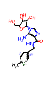 C=C(Cl)/C=C\C(=C/C)CNC(=O)c1ncn(C2OC(CO)C(O)C2O)c1N